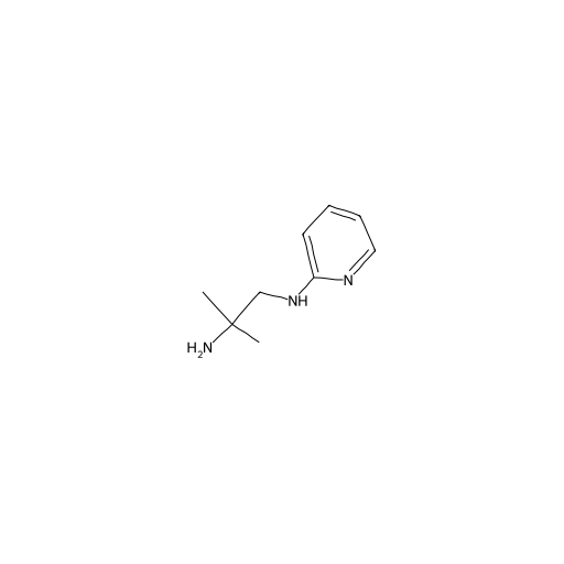 CC(C)(N)CNc1ccccn1